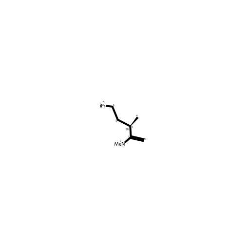 C=C(NC)[C@H](C)CCC(C)C